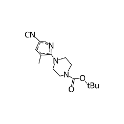 [C-]#[N+]c1cnc(N2CCN(C(=O)OC(C)(C)C)CC2)c(C)c1